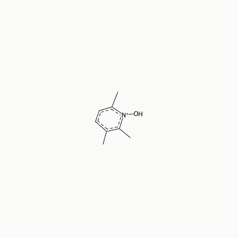 Cc1ccc(C)[n+](O)c1C